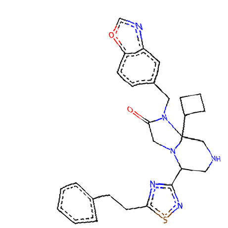 O=C1CN2C(c3nsc(CCc4ccccc4)n3)CNCC2(C2CCC2)N1Cc1ccc2ocnc2c1